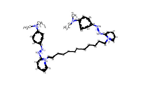 CN(C)c1ccc(/N=N/c2cccc[n+]2CCCCCCCCCCCC[n+]2ccccc2/N=N/c2ccc(N(C)C)cc2)cc1